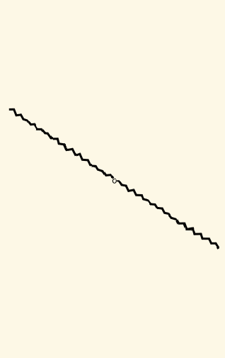 CCCCCCCCCCCCCCCCCCCCCCCCCCCCOCCCCCCCCCCCCCCCCCCCCCCCCCCCC